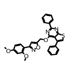 COc1ccc(-c2cc(COc3nc(-c4ccccc4)nc4scc(-c5ccccc5)c34)on2)c(OC)c1